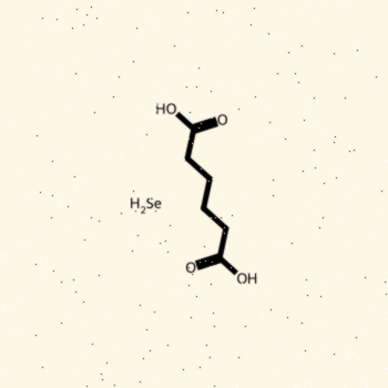 O=C(O)CCCCC(=O)O.[SeH2]